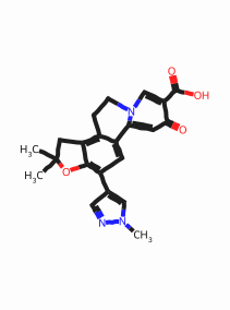 Cn1cc(-c2cc3c(c4c2OC(C)(C)C4)CCn2cc(C(=O)O)c(=O)cc2-3)cn1